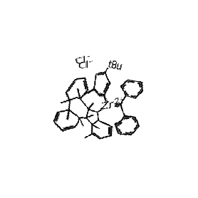 CC1=CC=CC2[CH]([Zr+2]([C]3=CC(C(C)(C)C)=CC3C)=[C](c3ccccc3)c3ccccc3)C3(C)C4(C)C=CC=CC4(C)C4(C)C=CC=CC4(C)C3(C)C12C.[Cl-].[Cl-]